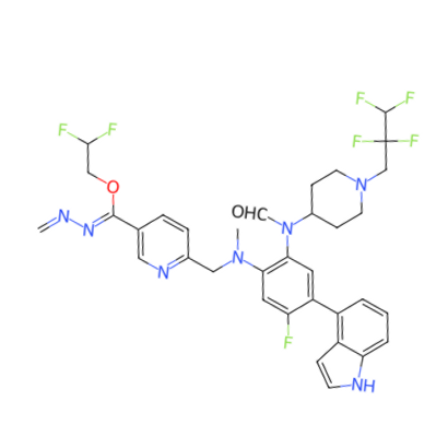 C=N/N=C(\OCC(F)F)c1ccc(CN(C)c2cc(F)c(-c3cccc4[nH]ccc34)cc2N(C=O)C2CCN(CC(F)(F)C(F)F)CC2)nc1